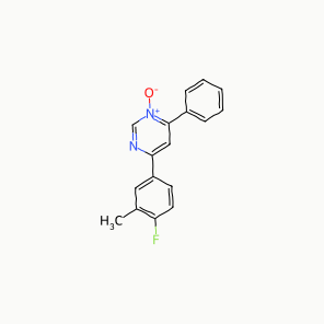 Cc1cc(-c2cc(-c3ccccc3)[n+]([O-])cn2)ccc1F